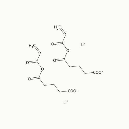 C=CC(=O)OC(=O)CCCC(=O)[O-].C=CC(=O)OC(=O)CCCC(=O)[O-].[Li+].[Li+]